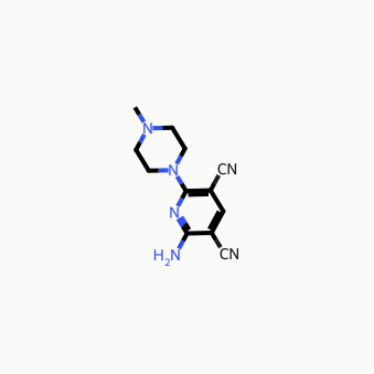 CN1CCN(c2nc(N)c(C#N)cc2C#N)CC1